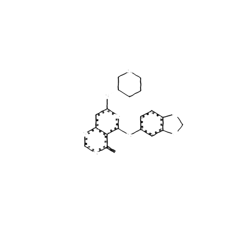 O=c1[nH]cnc2cc(N[C@H]3CCCNC3)nc(Nc3ccc4c(c3)OCO4)c12